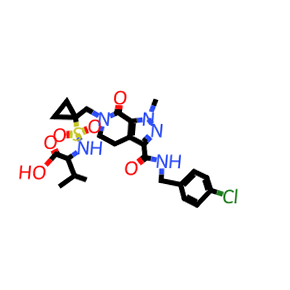 CC(C)C(NS(=O)(=O)C1(CN2CCc3c(C(=O)NCc4ccc(Cl)cc4)nn(C)c3C2=O)CC1)C(=O)O